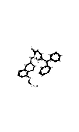 O=C(O)COc1cccc2c1CCC(Cn1nc(C(c3ccccc3)c3ccccc3)ccc1=O)C2